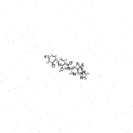 COc1nc(-c2ccc(F)cc2Cl)ccc1C(=O)Nc1cnc(-n2nccn2)c(C(F)(F)F)c1